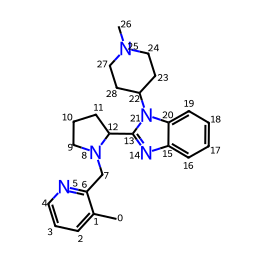 Cc1cccnc1CN1CCCC1c1nc2ccccc2n1C1CCN(C)CC1